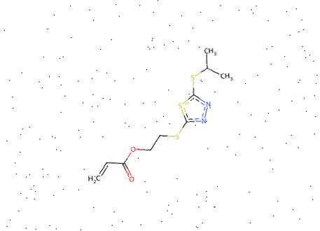 C=CC(=O)OCCSc1nnc(SC(C)C)s1